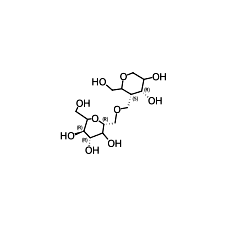 OCC1OCC(O)[C@H](O)[C@@H]1COC[C@H]1OC(CO)[C@H](O)[C@@H](O)C1O